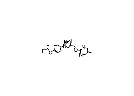 Cc1cnc(OCc2cn(-c3ccc(OC(F)F)cc3)nn2)nc1